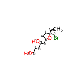 C=CC1(CBr)CCC(CC(O)CCCO)O1